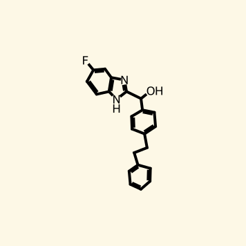 OC(c1ccc(CCc2ccccc2)cc1)c1nc2cc(F)ccc2[nH]1